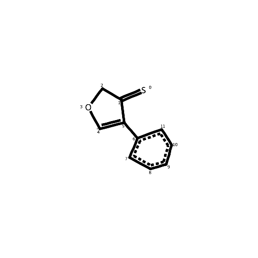 S=C1CO[C]=C1c1ccccc1